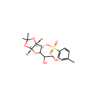 Cc1ccc(S(=O)(=O)O[C@@H]2C(C(O)CO)O[C@@H]3OC(C)(C)O[C@@H]32)cc1